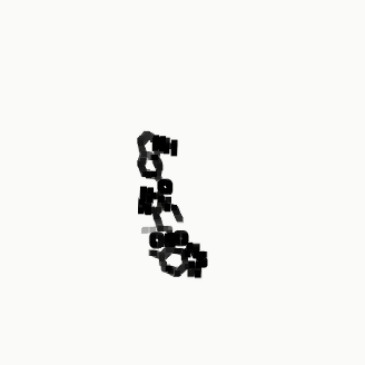 CCn1c(Oc2ccc3cc[nH]c3c2)nnc1[C@@H](C)CS(=O)(=O)c1c(C)ccc2nsnc12